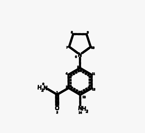 NC(=O)c1cc(N2CCCC2)ccc1N